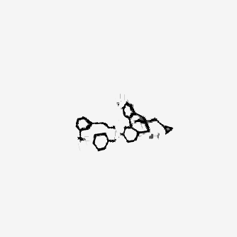 COc1ccc2c3c1OC1C(N(CC4CCCCC4)C(=O)/C=C/c4cccc(C(F)(F)F)c4)CC[C@@]4(O)[C@@H](C2)N(CC2CC2)CC[C@]314